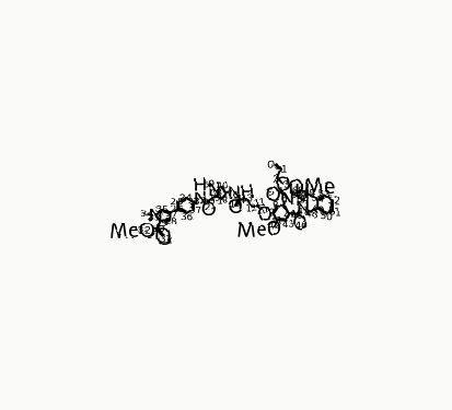 C=CCOC(=O)N1c2cc(OCCCC(=O)Nc3cc(C(=O)Nc4ccc(-c5cc(C(=O)OC)n(C)c5)cc4)n(C)c3)c(OC)cc2C(=O)N2Cc3ccccc3C[C@H]2C1OC